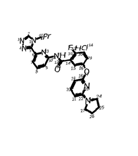 CC(C)n1cnnc1-c1cccc(NC(=O)c2cc(Oc3cccc(N4CCCC4)n3)ccc2F)n1.Cl